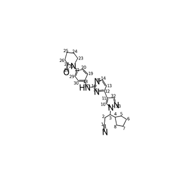 N#CCC(C1CCCC1)n1cc(-c2ccnc(Nc3ccc(N4CCCCC4=O)cc3)n2)cn1